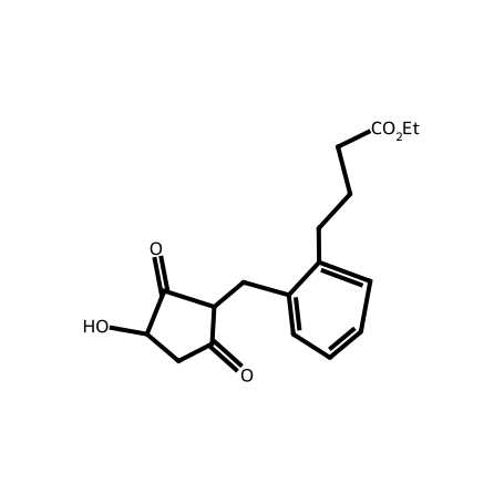 CCOC(=O)CCCc1ccccc1CC1C(=O)CC(O)C1=O